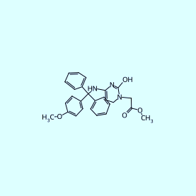 COC(=O)CN1CC=C(NC(c2ccccc2)(c2ccccc2)c2ccc(OC)cc2)N=C1O